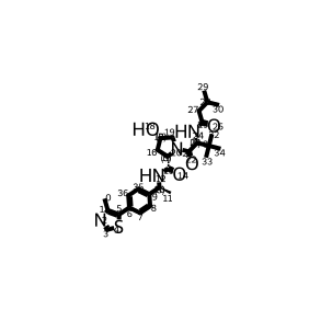 Cc1ncsc1-c1ccc([C@H](C)NC(=O)[C@@H]2C[C@@H](O)CN2C(=O)[C@@H](NC(=O)CC(C)C)C(C)(C)C)cc1